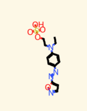 CCN(CCOS(=O)(=O)O)c1ccc(N=Nc2ccno2)cc1